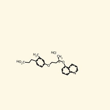 Cc1cc(OCC[C@@H](C)Oc2cccc3ncccc23)ccc1CCC(=O)O.Cl